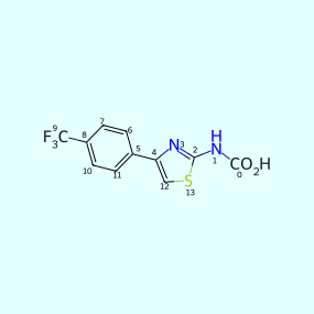 O=C(O)Nc1nc(-c2ccc(C(F)(F)F)cc2)cs1